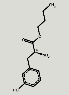 CCCCOC(=O)[C@@H](N)Cc1cccc(O)c1